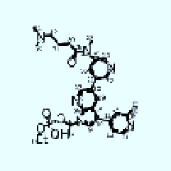 CCOP(=O)(O)OC(C)n1cc(-c2ccnc(F)c2)c2cc(-c3cncc(N(C)C(=O)C=CCN(C)C)c3)cnc21